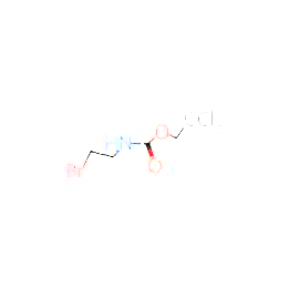 O=C(NCCBr)OCC(Cl)(Cl)Cl